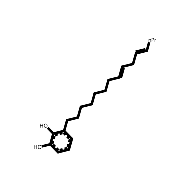 CCCC=CCC=CCCCCCCCc1cccc(O)c1O